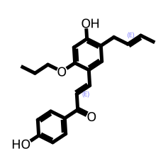 C/C=C/Cc1cc(/C=C/C(=O)c2ccc(O)cc2)c(OCCC)cc1O